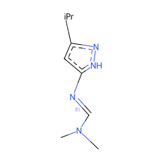 CC(C)c1cc(/N=C/N(C)C)[nH]n1